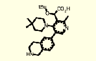 Cc1ncc(-c2ccc3c(c2)CCNC3)c(N2CCC(C)(C)CC2)c1C(OC(C)(C)C)C(=O)O